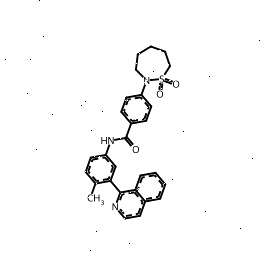 Cc1ccc(NC(=O)c2ccc(N3CCCCCS3(=O)=O)cc2)cc1-c1nccc2ccccc12